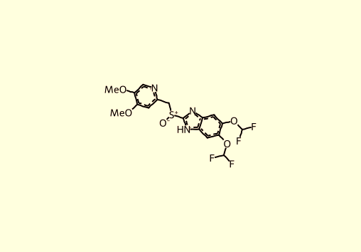 COc1cnc(C[S+]([O-])c2nc3cc(OC(F)F)c(OC(F)F)cc3[nH]2)cc1OC